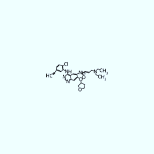 C#Cc1ccc(Cl)c(Nc2ncnc3cc(OC4CCOC4)c(NC(=O)/C=C/CN(CC)CC)cc23)c1